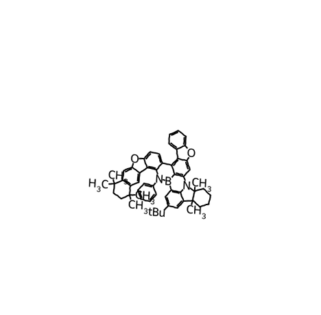 CC(C)(C)c1cc2c3c(c1)C1(C)CCCCC1(C)N3c1cc3oc4ccccc4c3c3c1B2N(c1ccccc1)c1c-3ccc2oc3cc4c(cc3c12)C(C)(C)CCC4(C)C